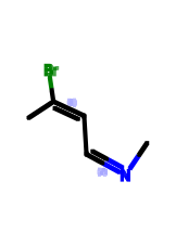 C/N=C\C=C(/C)Br